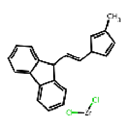 CC1=CC(C=CC2c3ccccc3-c3ccccc32)C=C1.[Cl][Zr][Cl]